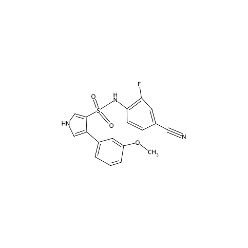 COc1cccc(-c2c[nH]cc2S(=O)(=O)Nc2ccc(C#N)cc2F)c1